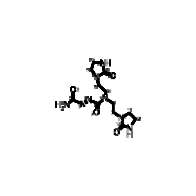 NC(=O)/N=N/C(=O)N(CCN1CCNC1=O)CCN1CCNC1=O